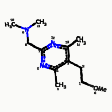 COCCc1c(C)nc(CN(C)C)nc1C